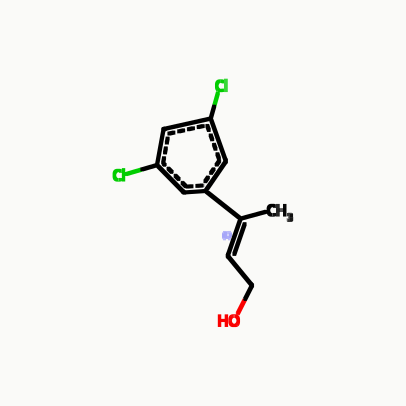 C/C(=C\CO)c1cc(Cl)cc(Cl)c1